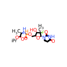 CC(C)OC(=O)[C@H](C)N[PH](=O)OCC1O[C@@H](n2ccc(=O)[nH]c2=O)[C@](C)(F)[C@@H]1O